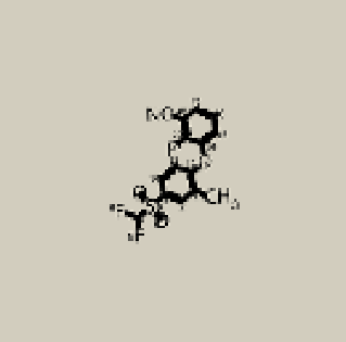 Cc1cc(S(=O)(=O)C(F)F)ccc1Oc1cccc(C#N)c1F